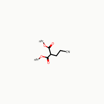 CCCOC(=O)C(CCC#N)C(=O)OCCC